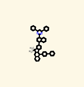 CC1(C)C2=CC3C=CC=CC3C(c3ccc(-c4ccccc4)cc3)=C2c2ccc(-c3ccc(-c4nc(-c5ccccc5)cc(-c5ccccc5)n4)c4ccccc34)cc21